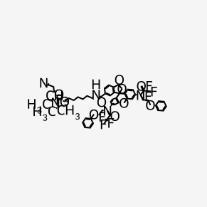 CC(C)N(C(C)C)P(OCCC#N)OCCCCCCNC(=O)c1ccc2c(c1)C1(OC2=O)c2ccc(N(CCOc3ccccc3)C(=O)C(F)(F)F)cc2Oc2cc(N(CCOc3ccccc3)C(=O)C(F)(F)F)ccc21